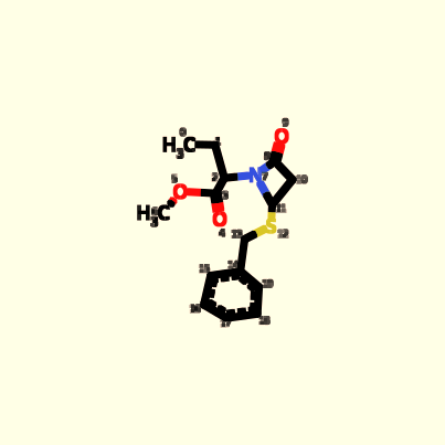 CCC(C(=O)OC)N1C(=O)CC1SCc1ccccc1